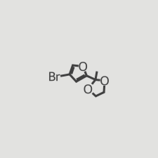 CC1(c2cc(Br)co2)OCCO1